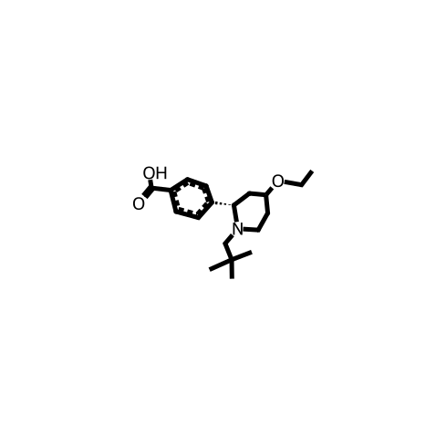 CCOC1CCN(CC(C)(C)C)[C@H](c2ccc(C(=O)O)cc2)C1